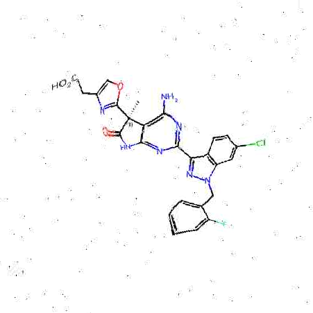 C[C@@]1(c2nc(CC(=O)O)co2)C(=O)Nc2nc(-c3nn(Cc4ccccc4F)c4cc(Cl)ccc34)nc(N)c21